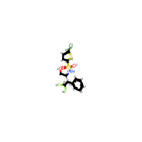 O=S(=O)(NC(CO)[C@H](c1ccccc1)C(F)F)C1CC=C(Cl)S1